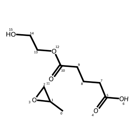 CC1CO1.O=C(O)CCCC(=O)OCCO